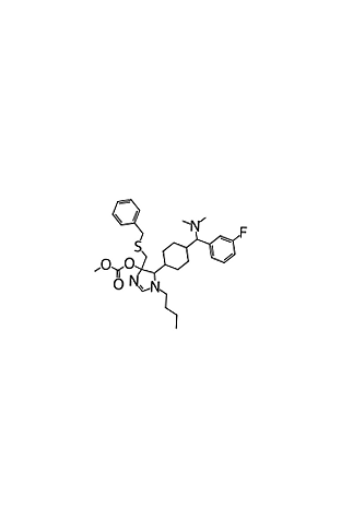 CCCCN1C=NC(CSCc2ccccc2)(OC(=O)OC)C1C1CCC(C(c2cccc(F)c2)N(C)C)CC1